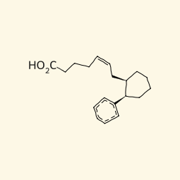 O=C(O)CCC/C=C\C[C@H]1CCCC[C@H]1c1ccccc1